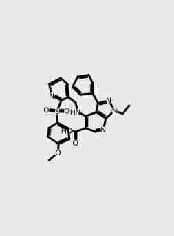 CCn1nc(-c2ccccc2)c2c(NCc3cccnc3S(=O)(=O)c3ccc(OC)cc3)c(C(=O)O)cnc21